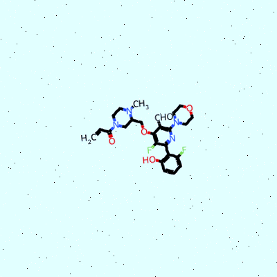 C=CC(=O)N1CCN(C)C(COc2c(F)c(-c3c(O)cccc3F)nc(N3CCOCC3)c2C=O)C1